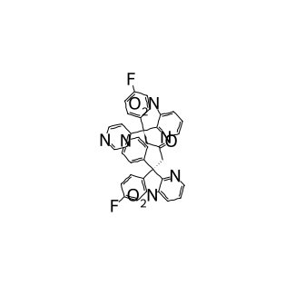 O=C(C[C@@](c1ccncc1)(c1ccc(F)cc1)c1ncccc1[N+](=O)[O-])C[C@@](c1ccncc1)(c1ccc(F)cc1)c1ncccc1[N+](=O)[O-]